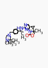 C[C@H](Nc1nccc(N2C(=O)OC[C@@]2(C)C2CC2)n1)c1ccc(CN2CCN(C)C(C)(C)C2)cc1